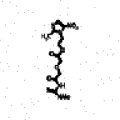 CNC(=S)NC(=O)COCC(=O)OCCn1c([N+](=O)[O-])cnc1C